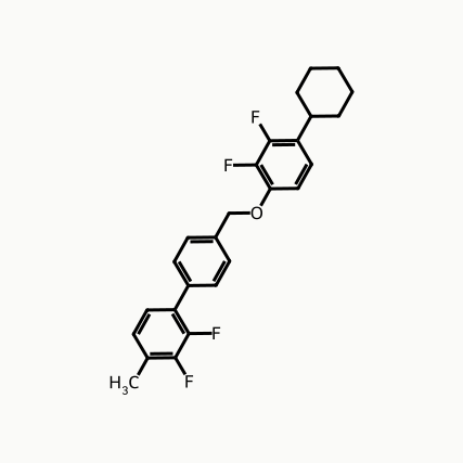 Cc1ccc(-c2ccc(COc3ccc(C4CCCCC4)c(F)c3F)cc2)c(F)c1F